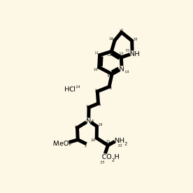 COC(C)CN(CCCCc1ccc2c(n1)NCCC2)CCC(N)C(=O)O.Cl